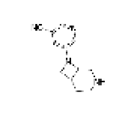 N#Cc1cncc(N2CC3CCNCC32)c1